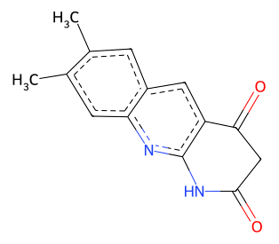 Cc1cc2cc3c(nc2cc1C)NC(=O)CC3=O